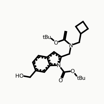 C=C(OC(C)(C)C)N(Cc1cc2ccc(CO)cc2n1C(=O)OC(C)(C)C)CC1CCC1